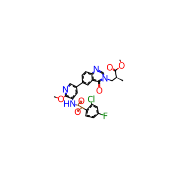 COC(=O)[C@@H](C)Cn1cnc2ccc(-c3cnc(OC)c(NS(=O)(=O)c4ccc(F)cc4Cl)c3)cc2c1=O